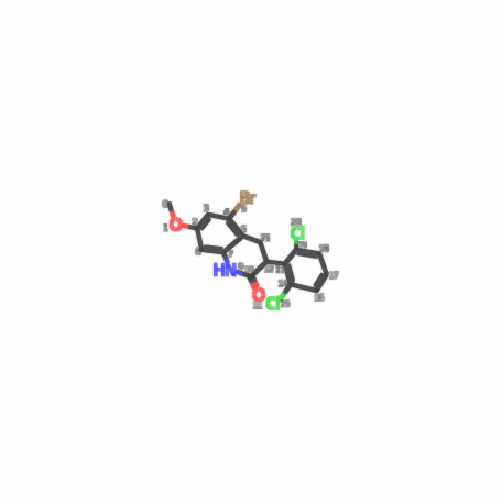 COc1cc(Br)c2c(c1)NC(=O)C(c1c(Cl)cccc1Cl)C2